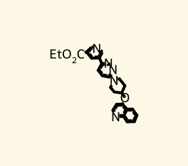 CCOC(=O)c1cncc(-c2ccc(N3CCC(Oc4ccnc5ccccc45)CC3)nn2)c1